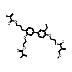 C=C(C)C(=O)OCCCc1ccc(-c2ccc(OCCOC(=O)C(=C)COC)c(CC)c2)cc1OCCOC(=O)C(=C)C